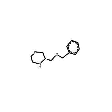 c1ccc(COC[C@@H]2CNCCN2)cc1